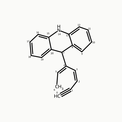 C#C/C=C\C(=C/C)C1c2ccccc2Nc2ccccc21